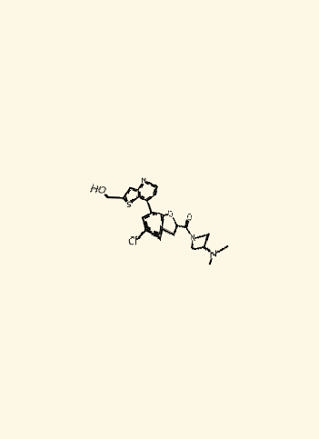 CN(C)C1CN(C(=O)[C@H]2Cc3cc(Cl)cc(-c4ccnc5cc(CO)sc45)c3O2)C1